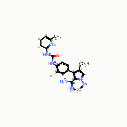 C=Nn1cc(C(=O)O)c(-c2ccc(NC(=O)NC3=NC(C)=CCC3)c(F)c2)c1C(=N)N